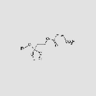 CCOC(CCOC(=O)/C=C\C(=O)O)(OCC)OCC